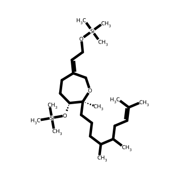 CC(C)=CCC(C)C(C)CCC[C@]1(C)OCC(=CCO[Si](C)(C)C)CC[C@H]1O[Si](C)(C)C